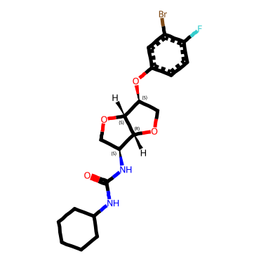 O=C(NC1CCCCC1)N[C@H]1CO[C@H]2[C@@H]1OC[C@@H]2Oc1ccc(F)c(Br)c1